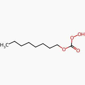 CCCCCCCCOC(=O)OO